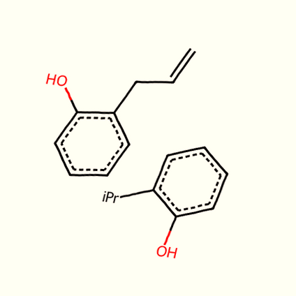 C=CCc1ccccc1O.CC(C)c1ccccc1O